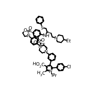 CCC1CCN(CC[C@H](CSc2ccccc2)Nc2ccc([P@@]3(=O)OCCN3c3ccc(N4CCN(c5cccc(-c6c(C(=O)O)c(C)n(C(C)C)c6-c6ccc(Cl)cc6)c5)CC4)cc3)cc2S(=O)(=O)C(F)(F)F)CC1